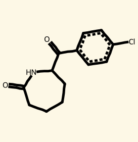 O=C1CCCCC(C(=O)c2ccc(Cl)cc2)N1